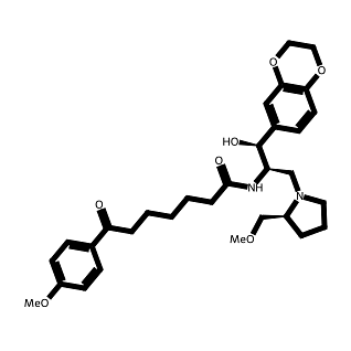 COC[C@@H]1CCCN1C[C@@H](NC(=O)CCCCCC(=O)c1ccc(OC)cc1)[C@@H](O)c1ccc2c(c1)OCCO2